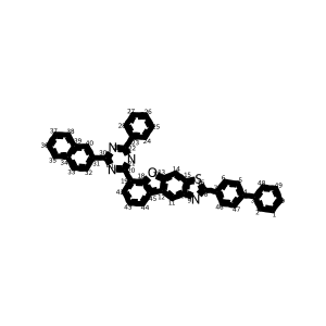 c1ccc(-c2ccc(-c3nc4cc5c(cc4s3)oc3c(-c4nc(-c6ccccc6)nc(-c6ccc7ccccc7c6)n4)cccc35)cc2)cc1